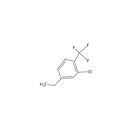 CCc1ccc(C(F)(F)F)c(Cl)c1